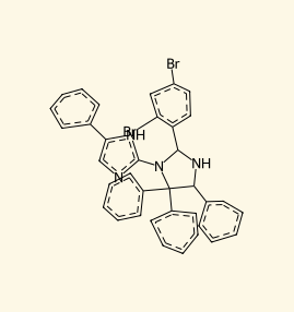 Brc1ccc(C2NC(c3ccccc3)C(c3ccccc3)(c3ccccc3)N2c2ncc(-c3ccccc3)[nH]2)c(Br)c1